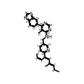 C\C=C/C(=C\C(C)=C\CC)c1ccc(CNc2ncnc(-c3ccc4ncsc4c3)c2C)cn1